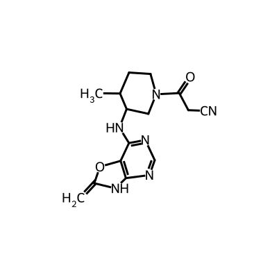 C=C1Nc2ncnc(NC3CN(C(=O)CC#N)CCC3C)c2O1